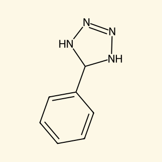 c1ccc(C2NN=NN2)cc1